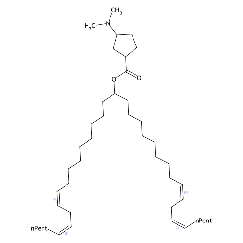 CCCCC/C=C\C/C=C\CCCCCCCCC(CCCCCCCC/C=C\C/C=C\CCCCC)OC(=O)C1CCC(N(C)C)C1